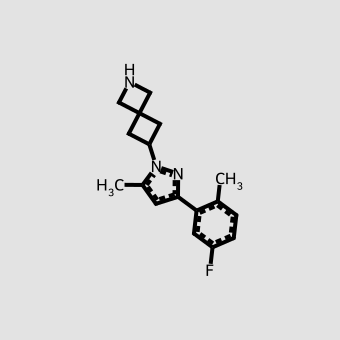 Cc1ccc(F)cc1-c1cc(C)n(C2CC3(CNC3)C2)n1